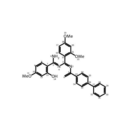 C=C(/N=C(\N=C(/N)c1ccc(OC)cc1O)c1ccc(OC)cc1OC)c1ccc(-c2ccccc2)cc1